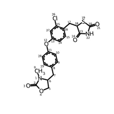 CN1C(=O)OCC1Cc1ccc(Oc2ccc(CC3SC(=O)NC3=O)c(Cl)c2)cc1